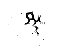 CCc1ccccc1C(OCOC)C(=O)O